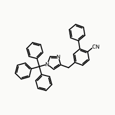 N#Cc1ccc(Cc2cn(C(c3ccccc3)(c3ccccc3)c3ccccc3)cn2)cc1-c1ccccc1